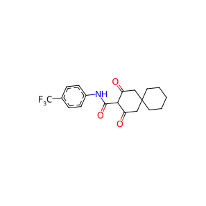 O=C1CC2(CCCCC2)CC(=O)C1C(=O)Nc1ccc(C(F)(F)F)cc1